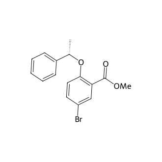 COC(=O)c1cc(Br)ccc1O[C@@H](C)c1ccccc1